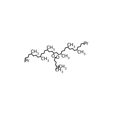 CC(C)CCCC(C)CCCC(C)CCCC(C)CCC(CCC(C)CCCC(C)CCCC(C)CCCC(C)C)OC(=O)CCCN(C)C